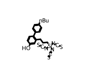 CCCCc1ccc(-c2ccc(O)cc2CCC[Si](N=C=S)(N=C=S)N=C=S)cc1